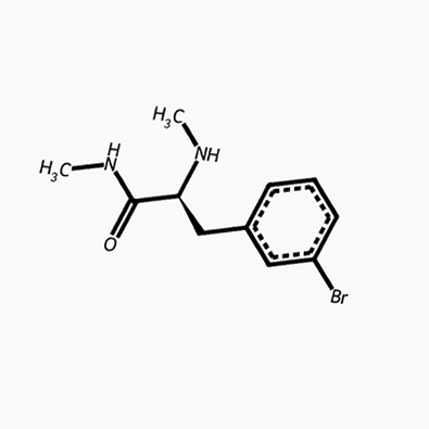 CNC(=O)[C@H](Cc1cccc(Br)c1)NC